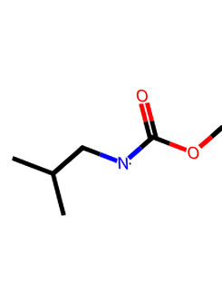 COC(=O)[N]CC(C)C